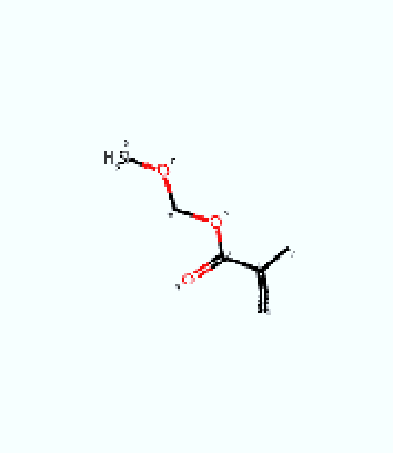 C=C(C)C(=O)OCO[SiH3]